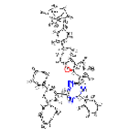 c1ccc(-c2cc(-c3ccccc3)cc(-c3nc(-c4ccccc4)nc(-c4cccc5c4oc4ccc(-c6ccc(C78CC9CC(CC(C9)C7)C8)cc6)cc45)n3)c2)cc1